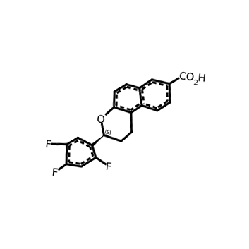 O=C(O)c1ccc2c3c(ccc2c1)O[C@H](c1cc(F)c(F)cc1F)CC3